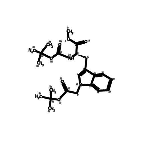 COC(=O)[C@H](Cc1cn(CC(=O)OC(C)(C)C)c2ccccc12)NC(=O)OC(C)(C)C